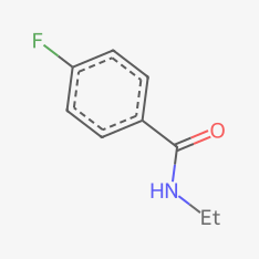 CCNC(=O)c1ccc(F)cc1